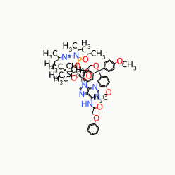 CCOP(O[C@H]1[C@@H](O[Si](C)(C)C(C)(C)C)[C@H](n2cnc3c(NC(=O)COc4ccccc4)ncnc32)O[C@@H]1COC(c1ccccc1)(c1ccc(OC)cc1)c1ccc(OC)cc1)N(C#[N+]C(C)C)C(C)C